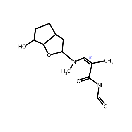 C/C(=C/N(C)C1CC2CCC(O)C2O1)C(=O)NC=O